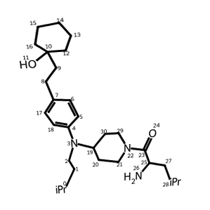 CC(C)CCN(c1ccc(CCC2(O)CCCCC2)cc1)C1CCN(C(=O)C(N)CC(C)C)CC1